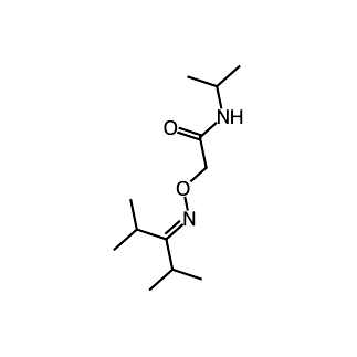 CC(C)NC(=O)CON=C(C(C)C)C(C)C